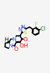 O=C1C(O)=C2C(=O)N3CCC[C@@H]3CN2CC1c1nnc(Cc2cccc(Cl)c2F)s1